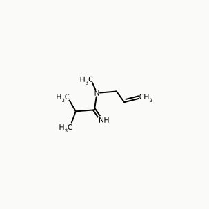 C=CCN(C)C(=N)C(C)C